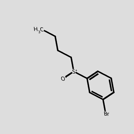 CCCC[S+]([O-])c1cccc(Br)c1